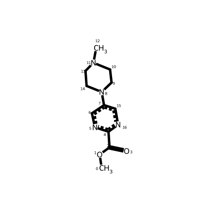 COC(=O)c1ncc(N2CCN(C)CC2)cn1